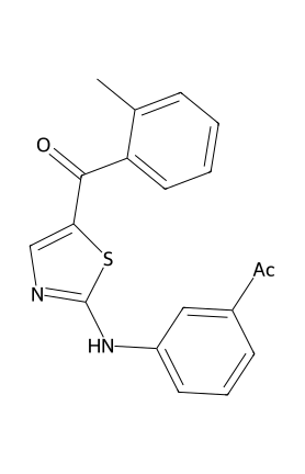 CC(=O)c1cccc(Nc2ncc(C(=O)c3ccccc3C)s2)c1